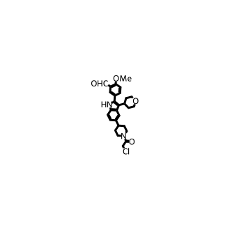 COc1ccc(-c2[nH]c3ccc(C4CCN(C(=O)CCl)CC4)cc3c2C2CCOCC2)cc1C=O